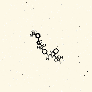 CN(C)c1nc(NC2CCC(NC(=O)c3ccc(-c4cccc([N+](=O)[O-])c4)o3)CC2)nc2c1CCCC2